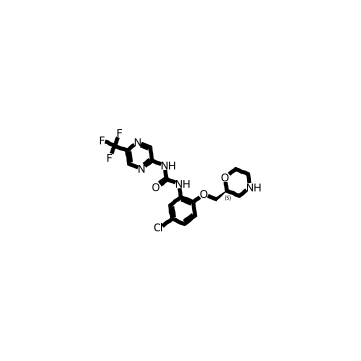 O=C(Nc1cnc(C(F)(F)F)cn1)Nc1cc(Cl)ccc1OC[C@@H]1CNCCO1